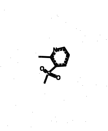 Cc1ncccc1S(C)(=O)=O